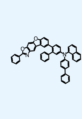 c1ccc(-c2ccc(N(c3ccc(-c4ccc5oc6cc7oc(-c8ccccc8)nc7cc6c5c4)c(-c4ccccc4)c3)c3cccc4ccccc34)cc2)cc1